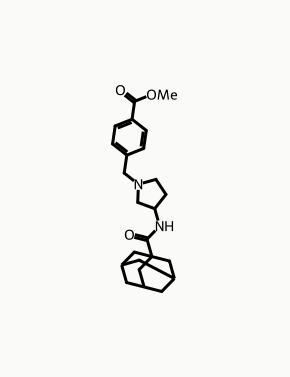 COC(=O)c1ccc(CN2CCC(NC(=O)C34CC5CC(CC(C5)C3)C4)C2)cc1